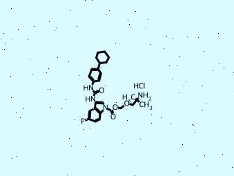 CC(C)(N)COCOC(=O)n1cc(NC(=O)Nc2ccc(C3CCCCC3)cc2)c2cc(F)ccc21.Cl